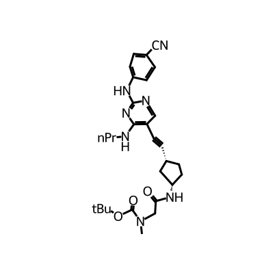 CCCNc1nc(Nc2ccc(C#N)cc2)ncc1C#C[C@@H]1CC[C@H](NC(=O)CN(C)C(=O)OC(C)(C)C)C1